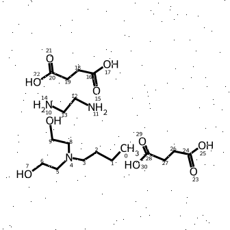 CCCCN(CCO)CCO.NCCN.O=C(O)CCC(=O)O.O=C(O)CCC(=O)O